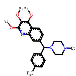 CCOc1nc2cc(C(c3ccc(C(F)(F)F)cc3)N3CCN(CC)CC3)ccc2c(OCC)c1OCC